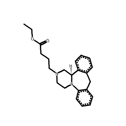 CCOC(=O)CCCN1CCN2c3ccccc3Cc3ccccc3[C@@H]2C1